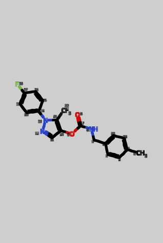 Cc1ccc(CNC(=O)Oc2cnn(-c3ccc(F)cc3)c2C(F)(F)F)cc1